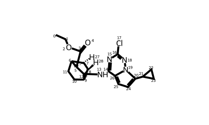 CCOC(=O)[C@@H]1C2CCC(CC2)[C@H]1Nc1nc(Cl)nn2c(C3CC3)ccc12